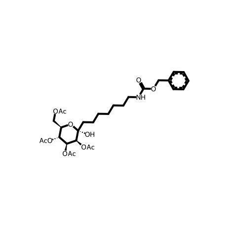 CC(=O)OC[C@H]1O[C@@](O)(CCCCCCCNC(=O)OCc2ccccc2)[C@@H](OC(C)=O)[C@@H](OC(C)=O)[C@@H]1OC(C)=O